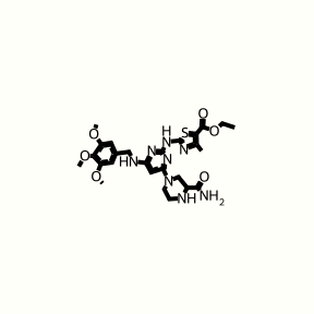 CCOC(=O)c1sc(Nc2nc(NCc3cc(OC)c(OC)c(OC)c3)cc(N3CCNC(C(N)=O)C3)n2)nc1C